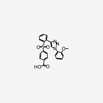 COc1ccccc1-n1cc(-c2ccccc2S(=O)(=O)c2ccc(C(=O)O)cc2)nn1